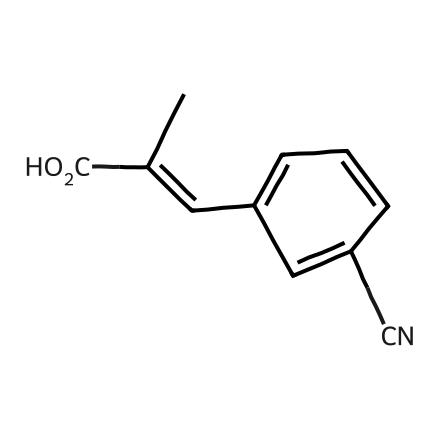 C/C(=C\c1cccc(C#N)c1)C(=O)O